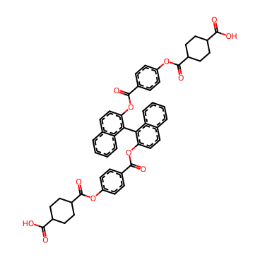 O=C(Oc1ccc2ccccc2c1-c1c(OC(=O)c2ccc(OC(=O)C3CCC(C(=O)O)CC3)cc2)ccc2ccccc12)c1ccc(OC(=O)C2CCC(C(=O)O)CC2)cc1